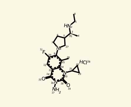 CCN[C@@H](C)C1CCN(c2c(F)cc3c(=O)n(N)c(=O)n(C4CC4)c3c2C)C1.Cl